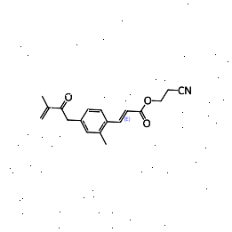 C=C(C)C(=O)Cc1ccc(/C=C/C(=O)OCCC#N)c(C)c1